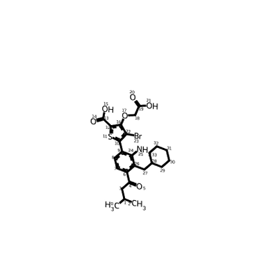 CC(C)CC(=O)c1ccc(-c2sc(C(=O)O)c(OCC(=O)O)c2Br)c(N)c1CC1CCCCC1